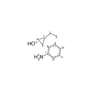 CCC1CC1.Cl.Nc1ccccc1